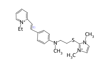 CC[n+]1ccccc1/C=C/c1ccc(N(C)CCSc2n(C)cc[n+]2C)cc1